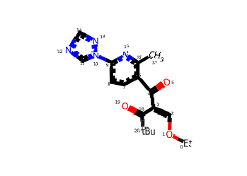 CCOC=C(C(=O)c1ccc(-n2cncn2)nc1C)C(=O)C(C)(C)C